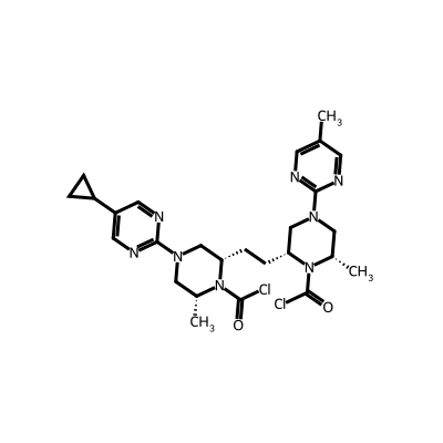 Cc1cnc(N2C[C@@H](CC[C@H]3CN(c4ncc(C5CC5)cn4)C[C@@H](C)N3C(=O)Cl)N(C(=O)Cl)[C@@H](C)C2)nc1